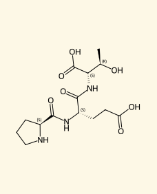 C[C@@H](O)[C@H](NC(=O)[C@H](CCC(=O)O)NC(=O)[C@@H]1CCCN1)C(=O)O